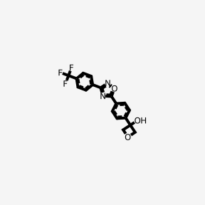 OC1(c2ccc(-c3nc(-c4ccc(C(F)(F)F)cc4)no3)cc2)COC1